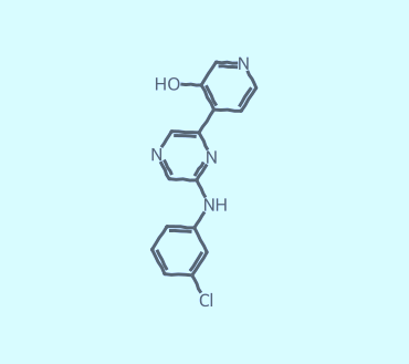 Oc1cnccc1-c1cncc(Nc2cccc(Cl)c2)n1